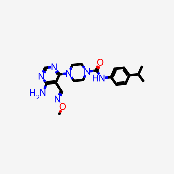 CON=Cc1c(N)ncnc1N1CCN(C(=O)Nc2ccc(C(C)C)cc2)CC1